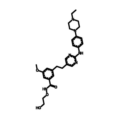 CCN1CCN(c2ccc(Nc3ncc(CCc4cc(OC)cc(C(=O)NOCCO)c4)cn3)cc2)CC1